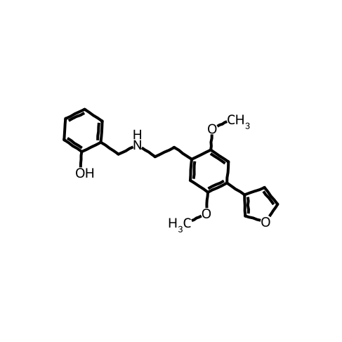 COc1cc(-c2ccoc2)c(OC)cc1CCNCc1ccccc1O